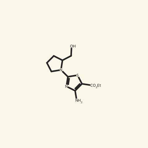 CCOC(=O)c1sc(N2CCCC2CO)nc1N